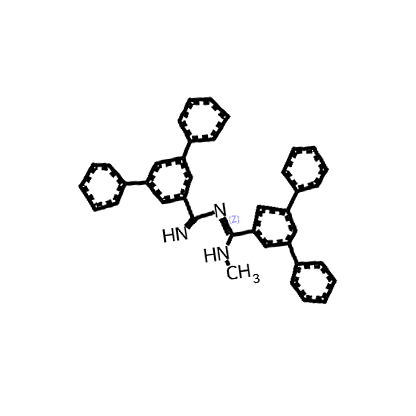 CN/C(=N\C(=N)c1cc(-c2ccccc2)cc(-c2ccccc2)c1)c1cc(-c2ccccc2)cc(-c2ccccc2)c1